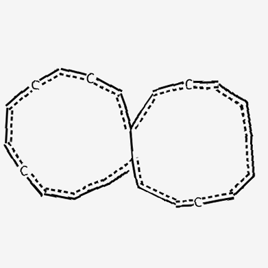 c1cccccc2ccccccccccc-2cccc1